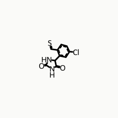 O=C1NC(=O)C(c2cc(Cl)ccc2C=S)N1